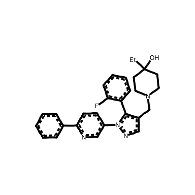 CCC1(O)CCN(Cc2cnn(-c3ccc(-c4ccccc4)nc3)c2-c2ccccc2F)CC1